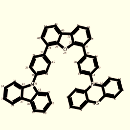 c1ccc2c(c1)Sc1ccccc1N2c1ccc(-c2cccc3c2oc2c(-c4ccc(-n5c6ccccc6c6ccccc65)cc4)cccc23)cc1